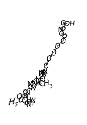 C[C@@H]1CN(c2ncc(-c3ccc4c(n3)N(Cc3cccnc3C#N)C(C)(C)C4=O)cn2)CCN1C(=O)Cn1cc(COCCOCCOCCOCCOc2cccc(Oc3ccc(C(=O)O)cn3)c2)nn1